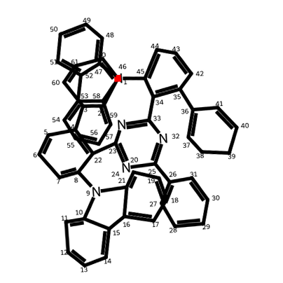 C1=CCC(c2cccc(-n3c4ccccc4c4ccccc43)c2-c2nc(-c3ccccc3)nc(-c3c(C4=CCCC=C4)cccc3-n3c4ccccc4c4ccccc43)n2)C=C1